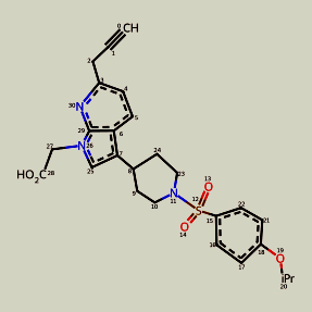 C#CCc1ccc2c(C3CCN(S(=O)(=O)c4ccc(OC(C)C)cc4)CC3)cn(CC(=O)O)c2n1